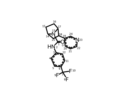 O=C(Nc1ccc(C(F)(F)F)cc1)N1C2CCC1C(c1cccnc1)C2